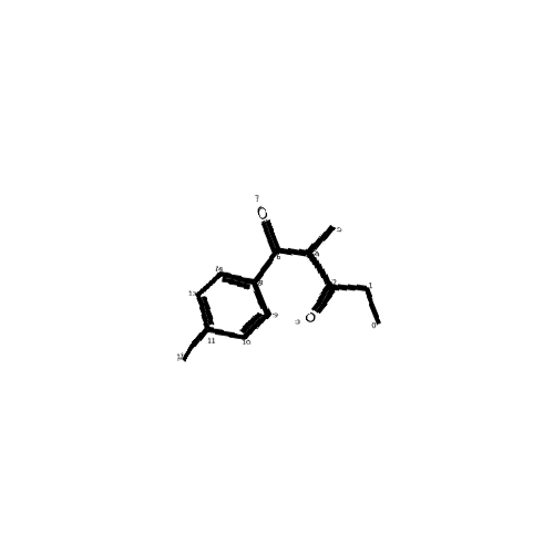 CCC(=O)C(C)C(=O)c1ccc(C)cc1